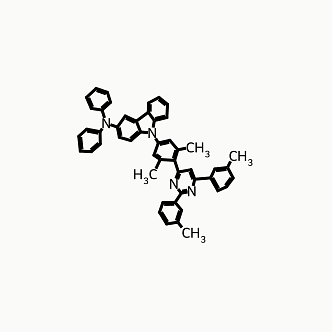 Cc1cccc(-c2cc(-c3c(C)cc(-n4c5ccccc5c5cc(N(c6ccccc6)c6ccccc6)ccc54)cc3C)nc(-c3cccc(C)c3)n2)c1